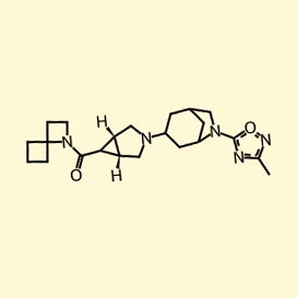 Cc1noc(N2CC3CC(N4C[C@@H]5C(C(=O)N6CCC67CCC7)[C@@H]5C4)CC2C3)n1